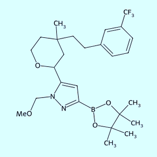 COCn1nc(B2OC(C)(C)C(C)(C)O2)cc1C1CC(C)(CCc2cccc(C(F)(F)F)c2)CCO1